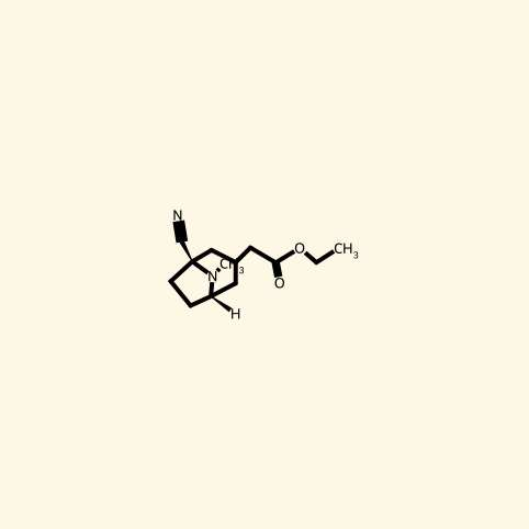 CCOC(=O)CC1C[C@@H]2CC[C@](C#N)(C1)N2C